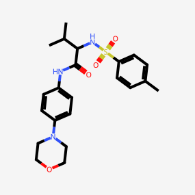 Cc1ccc(S(=O)(=O)NC(C(=O)Nc2ccc(N3CCOCC3)cc2)C(C)C)cc1